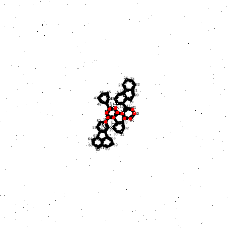 N#Cc1cccc(-c2ccccc2-c2cccc3c2ccc2ccccc23)c1-c1ccccc1-c1ccccc1C1N=C(c2ccccc2)N=C(c2ccc3c(c2)-c2cccc4cccc-3c24)N1